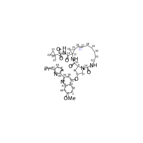 COc1ccc2c(OC3CC4C(=O)NC5(C(=O)NS(=O)(=O)C6(C)CC6)CC5/C=C/CCCCCNC(=O)N4C3)cc(-c3nc(C(C)C)cs3)nc2c1